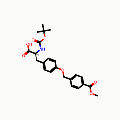 COC(=O)c1ccc(COc2ccc(C[C@H](NC(=O)OC(C)(C)C)C(=O)O)cc2)cc1